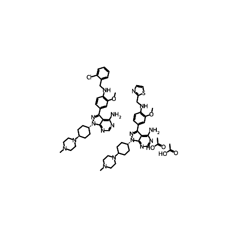 CC(=O)O.CC(=O)O.COc1cc(-c2nn([C@H]3CC[C@H](N4CCN(C)CC4)CC3)c3ncnc(N)c23)ccc1NCc1ccccc1Cl.COc1cc(-c2nn([C@H]3CC[C@H](N4CCN(C)CC4)CC3)c3ncnc(N)c23)ccc1NCc1nccs1